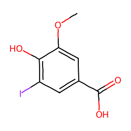 COc1cc(C(=O)O)cc(I)c1O